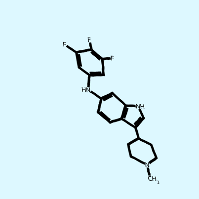 CN1CCC(c2c[nH]c3cc(Nc4cc(F)c(F)c(F)c4)ccc23)CC1